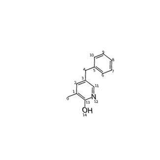 Cc1cc(Cc2ccccc2)cnc1O